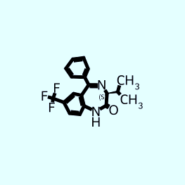 CC(C)[C@@H]1N=C(c2ccccc2)c2cc(C(F)(F)F)ccc2NC1=O